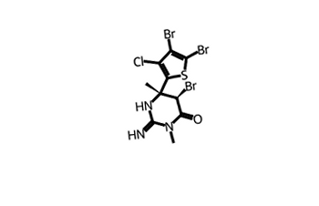 CN1C(=N)N[C@](C)(c2sc(Br)c(Br)c2Cl)[C@@H](Br)C1=O